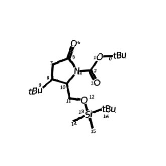 CC(C)(C)OC(=O)N1C(=O)CC(C(C)(C)C)C1CO[Si](C)(C)C(C)(C)C